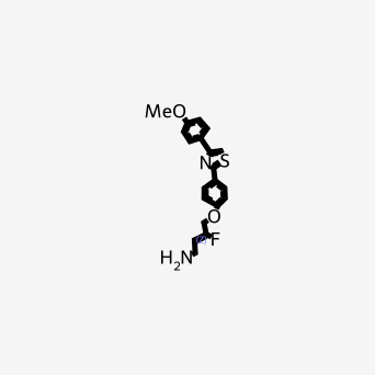 COc1ccc(-c2csc(-c3ccc(OC/C(F)=C/CN)cc3)n2)cc1